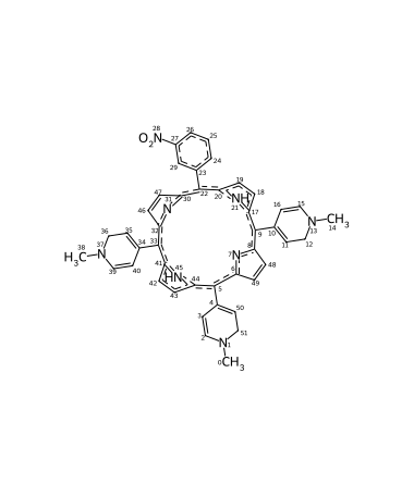 CN1C=CC(c2c3nc(c(C4=CCN(C)C=C4)c4ccc([nH]4)c(-c4cccc([N+](=O)[O-])c4)c4nc(c(C5=CCN(C)C=C5)c5ccc2[nH]5)C=C4)C=C3)=CC1